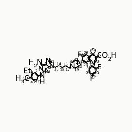 CCc1cc(Nc2nc(N)c3ncn(CCCCCN4CCN(c5cc6c(cc5F)c(=O)c(C(=O)O)cn6-c5ccc(F)cc5F)CC4)c3n2)ccc1C